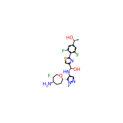 C[C@H](O)c1cc(F)c(-c2nc(C(O)Nc3cnn(C)c3[C@@H]3CC[C@@H](N)[C@H](F)CO3)cs2)c(F)c1